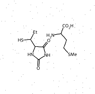 CCC(S)C1NC(=O)NC1=O.CSCCC(N)C(=O)O